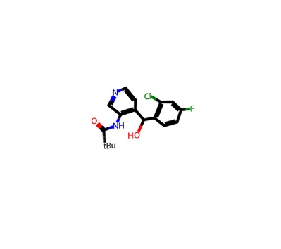 CC(C)(C)C(=O)Nc1cnccc1C(O)c1ccc(F)cc1Cl